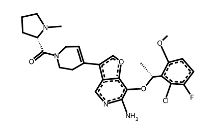 COc1ccc(F)c(Cl)c1[C@@H](C)Oc1c(N)ncc2c(C3=CCN(C(=O)[C@@H]4CCCN4C)CC3)coc12